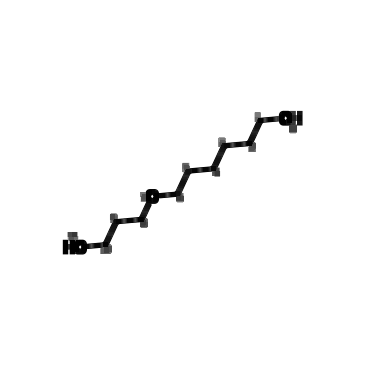 OCCCCCCOCCCO